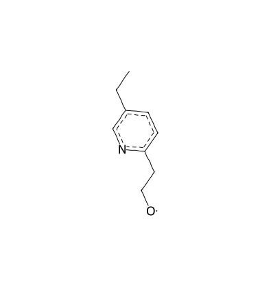 CCc1ccc(CC[O])nc1